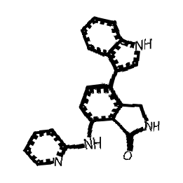 O=C1NCc2c(-c3c[nH]c4ccccc34)ccc(Nc3ccccn3)c21